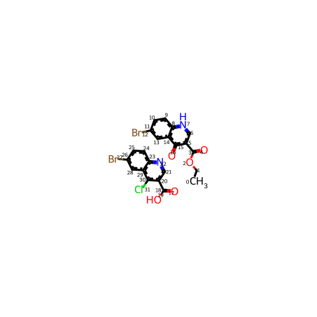 CCOC(=O)c1c[nH]c2ccc(Br)cc2c1=O.O=C(O)c1cnc2ccc(Br)cc2c1Cl